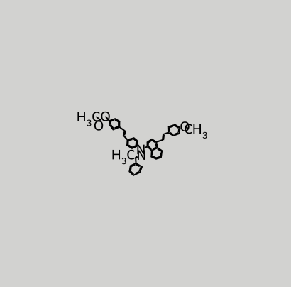 COc1ccc(/C=C/c2ccc(N(N=C(C)c3ccccc3)c3ccc(/C=C/c4ccc(OC(C)=O)cc4)cc3)c3ccccc23)cc1